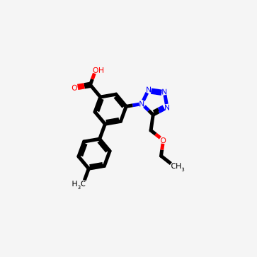 CCOCc1nnnn1-c1cc(C(=O)O)cc(-c2ccc(C)cc2)c1